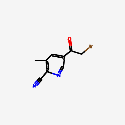 Cc1cc(C(=O)CBr)cnc1C#N